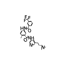 Cc1ccc(NC(=O)c2cccc(C(F)(F)F)c2)cc1C(=O)Nc1cncc(CCCN(C)C)c1